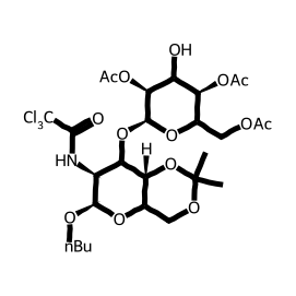 CCCCO[C@@H]1OC2COC(C)(C)O[C@H]2C(O[C@@H]2OC(COC(C)=O)[C@H](OC(C)=O)C(O)[C@@H]2OC(C)=O)[C@@H]1NC(=O)C(Cl)(Cl)Cl